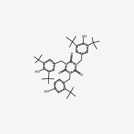 CC(C)(C)c1cc(O)ccc1Cn1c(=O)n(Cc2cc(C(C)(C)C)c(O)c(C(C)(C)C)c2)c(=O)n(Cc2cc(C(C)(C)C)c(O)c(C(C)(C)C)c2)c1=O